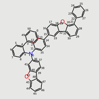 c1ccc(-c2ccccc2N(c2ccc(-c3ccc4oc5c(-c6ccccc6)cccc5c4c3)cc2)c2ccc3c(c2)oc2ccccc23)cc1